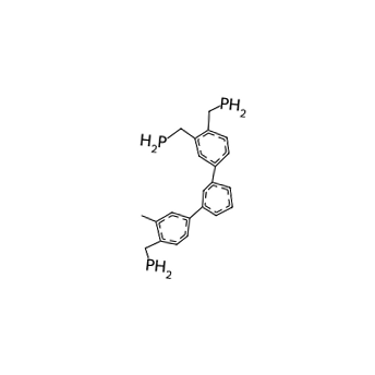 Cc1cc(-c2cccc(-c3ccc(CP)c(CP)c3)c2)ccc1CP